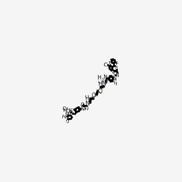 CN(Cc1cc(NC(=O)CNCCCOCCOCCN/C=C(\N)c2ccc(Nc3ncc4c(n3)-c3ccc(Cl)cc3C(c3c(F)cccc3F)=NC4)cc2)ccc1C=O)C1CCC(=O)NC1=O